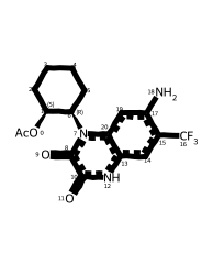 CC(=O)O[C@H]1CCCC[C@H]1n1c(=O)c(=O)[nH]c2cc(C(F)(F)F)c(N)cc21